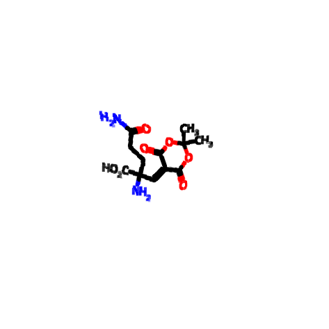 CC1(C)OC(=O)C(=CC(N)(CCC(N)=O)C(=O)O)C(=O)O1